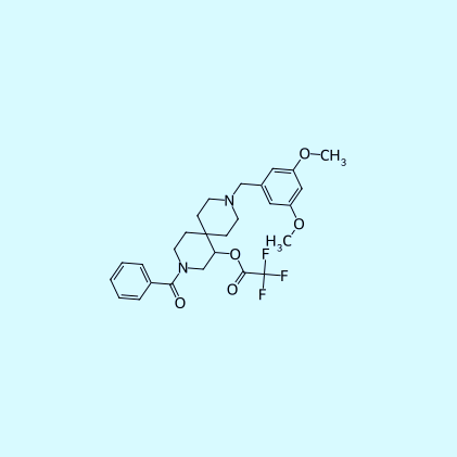 COc1cc(CN2CCC3(CC2)CCN(C(=O)c2ccccc2)CC3OC(=O)C(F)(F)F)cc(OC)c1